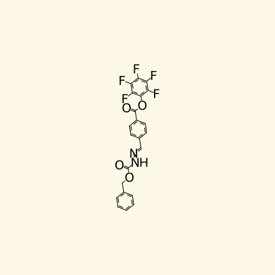 O=C(NN=Cc1ccc(C(=O)Oc2c(F)c(F)c(F)c(F)c2F)cc1)OCc1ccccc1